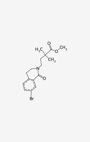 COC(=O)C(C)(C)CCN1CCc2ccc(Br)cc2C1=O